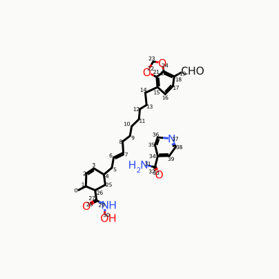 CC1C=CC(CC=CCCCCCCCc2ccc(C=O)c3c2OCO3)CC1C(=O)NO.NC(=O)c1ccncc1